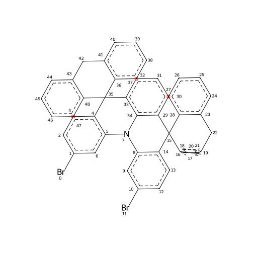 Brc1ccc2c(c1)N1c3cc(Br)ccc3C3(c4ccccc4Cc4ccccc43)c3cccc(c31)C21c2ccccc2Cc2ccccc21